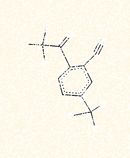 N#Cc1cc(C(Cl)(Cl)Cl)ccc1C(=O)C(F)(F)F